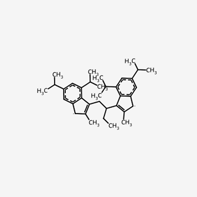 CCC(CC1=C(C)[CH]c2cc(C(C)C)cc(C(C)C)c21)C1=C(C)[CH]c2cc(C(C)C)cc(C(C)C)c21